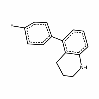 Fc1ccc(-c2cccc3c2CCCN3)cc1